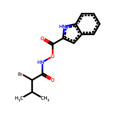 CC(C)C(Br)C(=O)NOC(=O)c1cc2ccccc2[nH]1